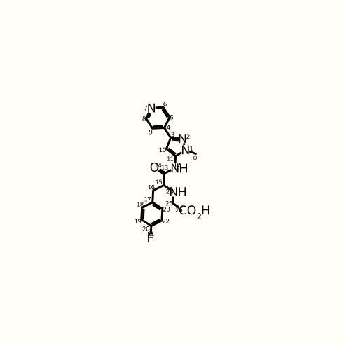 Cn1nc(-c2ccncc2)cc1NC(=O)C(Cc1ccc(F)cc1)NCC(=O)O